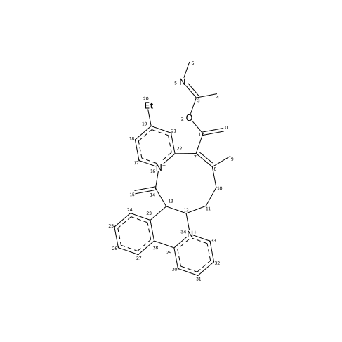 C=C(O/C(C)=N/C)/C1=C(\C)CCC2C(C(=C)[n+]3ccc(CC)cc31)c1ccccc1-c1cccc[n+]12